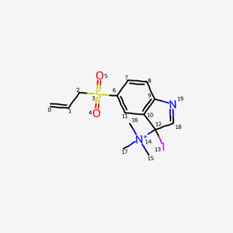 C=CCS(=O)(=O)c1ccc2c(c1)C(I)([N+](C)(C)C)C=N2